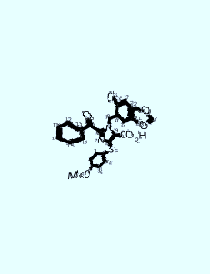 COc1ccc(Sc2nc(C(=O)c3ccccc3)n(Cc3cc4c(cc3Cl)OCO4)c2C(=O)O)cc1